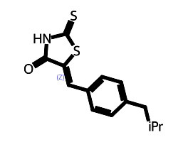 CC(C)Cc1ccc(/C=C2\SC(=S)NC2=O)cc1